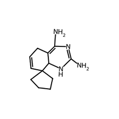 NC1=NC(N)=C2CC=CC3(CCCC3)C2N1